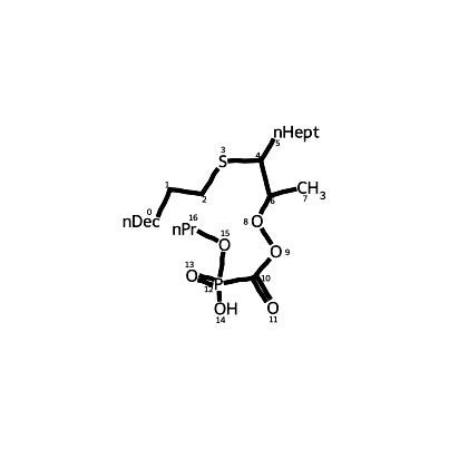 CCCCCCCCCCCCSC(CCCCCCC)C(C)OOC(=O)P(=O)(O)OCCC